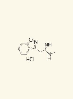 CNC(=N)Cc1noc2ccccc12.Cl